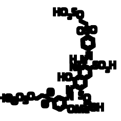 COc1ccc(S(=O)(=O)CCOSOOO)cc1/N=N/c1c(SOOO)cc2cc(S(=O)(=O)O)c(/N=N/c3ccc(S(=O)(=O)CCOS(=O)(=O)O)cc3)c(N)c2c1O